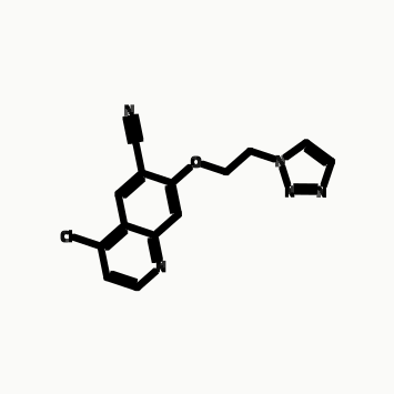 N#Cc1cc2c(Cl)ccnc2cc1OCCn1ccnn1